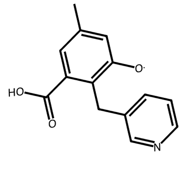 Cc1cc([O])c(Cc2cccnc2)c(C(=O)O)c1